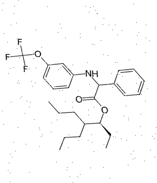 CCCC(CCC)[C@H](CC)OC(=O)C(Nc1cccc(OC(F)(F)F)c1)c1ccccc1